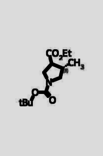 CCOC(=O)C1CN(C(=O)OC(C)(C)C)C[C@H]1C